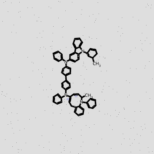 CC1C=C(n2c3ccccc3c3cc(N(c4ccccc4)c4ccc(-c5ccc(N(C6=C/Cc7ccccc7N(c7ccccc7)C(C)/C=C\6)c6ccccc6)cc5)cc4)ccc32)C=CC1